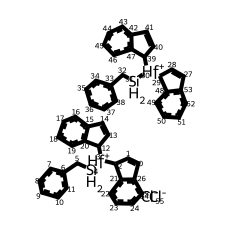 C1=C[CH]([Hf+]([SiH2]Cc2ccccc2)[CH]2C=Cc3ccccc32)c2ccccc21.C1=C[CH]([Hf+]([SiH2]Cc2ccccc2)[CH]2C=Cc3ccccc32)c2ccccc21.[Cl-].[Cl-]